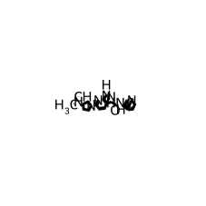 CN(C)C1CCN(c2ccc3c(C(=O)N[C@H]4CN5CCC4CC5)n[nH]c3n2)C1